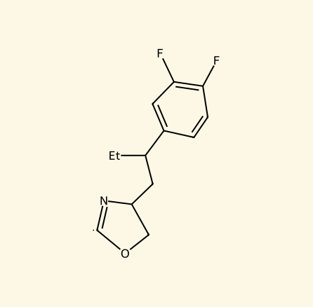 CCC(CC1CO[C]=N1)c1ccc(F)c(F)c1